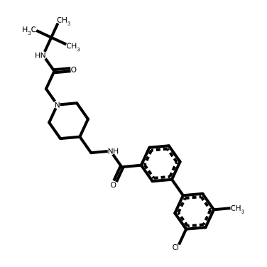 Cc1cc(Cl)cc(-c2cccc(C(=O)NCC3CCN(CC(=O)NC(C)(C)C)CC3)c2)c1